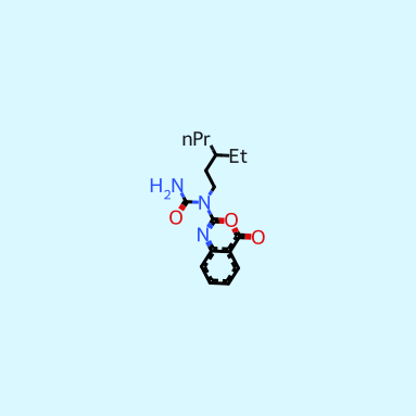 CCCC(CC)CCN(C(N)=O)c1nc2ccccc2c(=O)o1